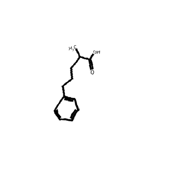 CC(CCCc1ccccc1)C(=O)O